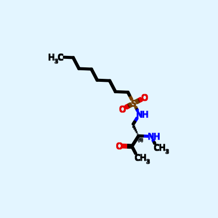 CCCCCCCCS(=O)(=O)NC[C@H](NC)C(C)=O